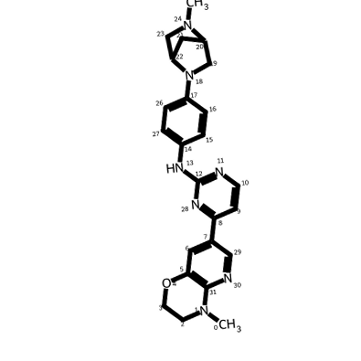 CN1CCOc2cc(-c3ccnc(Nc4ccc(N5CC6CC5CN6C)cc4)n3)cnc21